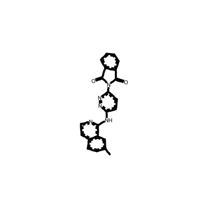 Cc1ccc2ccnc(Nc3ccc(N4C(=O)c5ccccc5C4=O)nn3)c2c1